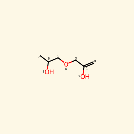 C=C(O)COCC(C)O